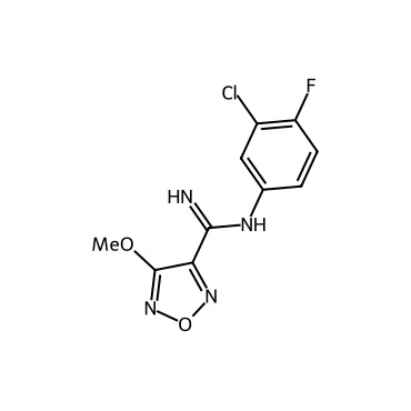 COc1nonc1C(=N)Nc1ccc(F)c(Cl)c1